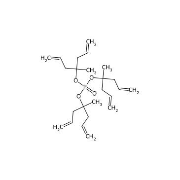 C=CCC(C)(CC=C)OP(=O)(OC(C)(CC=C)CC=C)OC(C)(CC=C)CC=C